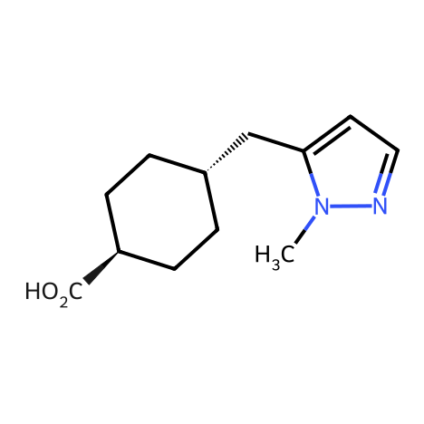 Cn1nccc1C[C@H]1CC[C@H](C(=O)O)CC1